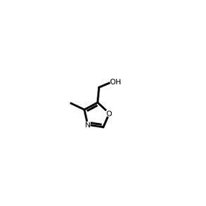 Cc1ncoc1CO